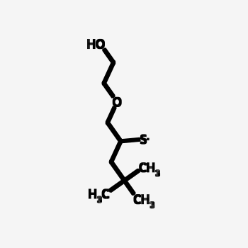 CC(C)(C)CC([S])COCCO